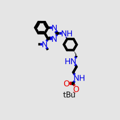 CN(C)c1nc(N[C@H]2CC[C@@H](CNCCNC(=O)OC(C)(C)C)CC2)nc2ccccc12